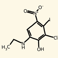 CCNc1cc([N+](=O)[O-])c(I)c(Cl)c1O